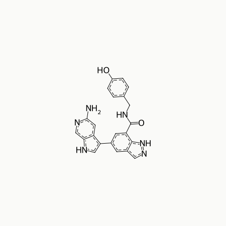 Nc1cc2c(-c3cc(C(=O)NCc4ccc(O)cc4)c4[nH]ncc4c3)c[nH]c2cn1